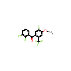 COc1cc(C(F)(F)F)c(C(=O)c2cccc(F)c2F)cc1F